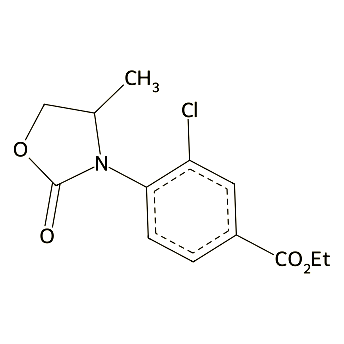 CCOC(=O)c1ccc(N2C(=O)OCC2C)c(Cl)c1